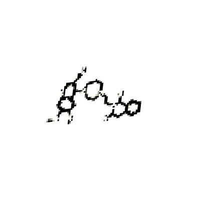 COc1cc2ncc(C#N)c(N3CCCN(CCN4C(=O)Cc5ccccc5C4=O)CC3)c2cc1OC